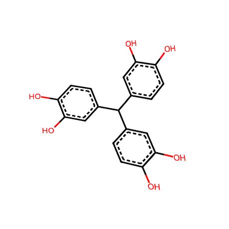 Oc1ccc(C(c2ccc(O)c(O)c2)c2ccc(O)c(O)c2)cc1O